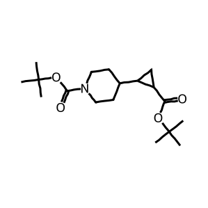 CC(C)(C)OC(=O)C1CC1C1CCN(C(=O)OC(C)(C)C)CC1